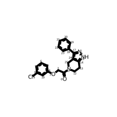 O=C(COc1cccc(Cl)c1)N1CCc2[nH]nc(-c3ccccc3)c2C1